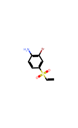 C=CS(=O)(=O)c1ccc(N)c(Br)c1